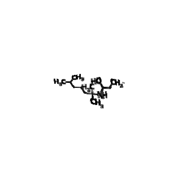 [CH2]CC(O)NC(C)(C)CCCC(C)C